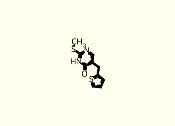 CSc1ncc(Cc2cccs2)c(=O)[nH]1